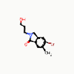 Cc1cc2c(cc1Br)CN(CCCO)C2=O